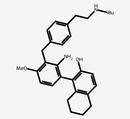 CCC(C)NCCc1ccc(Cc2c(OC)ccc(-c3c(O)ccc4c3CCCC4)c2N)cc1